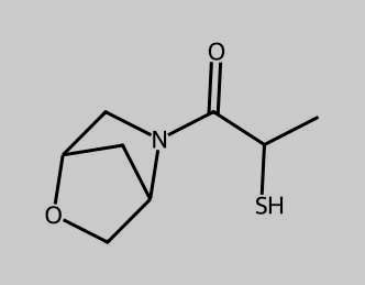 CC(S)C(=O)N1CC2CC1CO2